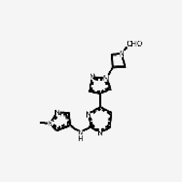 Cn1cc(Nc2nccc(-c3cnn(C4CN(C=O)C4)c3)n2)cn1